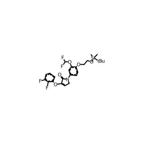 CC(C)(C)[Si](C)(C)OCCOc1ccc(N2CC=C(Oc3cccc(F)c3F)C2=O)cc1OC(F)F